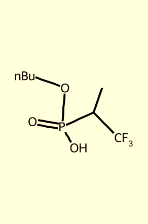 CCCCOP(=O)(O)C(C)C(F)(F)F